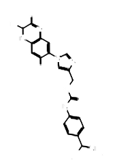 NC(C(=O)O)c1ccc(NC(=O)OCc2cn(-c3cc4c(cc3C(F)(F)F)NC(C=O)C(C(=O)O)=N4)cn2)cc1